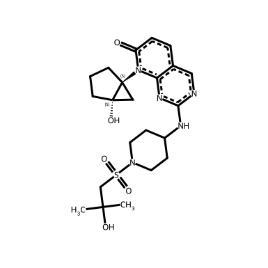 CC(C)(O)CS(=O)(=O)N1CCC(Nc2ncc3ccc(=O)n([C@]45CCC[C@]4(O)C5)c3n2)CC1